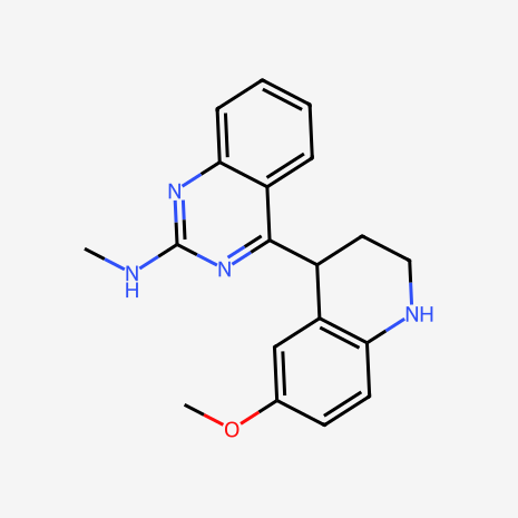 CNc1nc(C2CCNc3ccc(OC)cc32)c2ccccc2n1